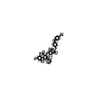 COC(=O)C1=C(CN2CCN3C(=O)N(Cc4ccc(Oc5ccc(C#N)cc5)cc4)C[C@@H]3C2)NC(c2nccs2)=NC1c1ccc(F)cc1Cl